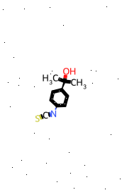 CC(C)(O)[C@H]1CC[C@H](N=C=S)CC1